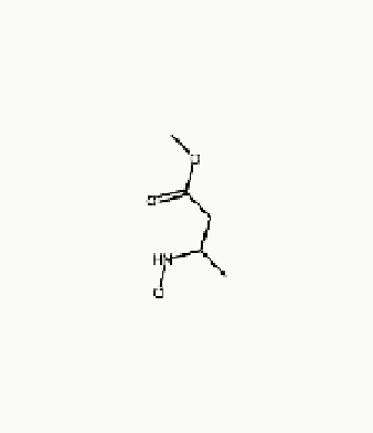 COC(=O)CC(C)NCl